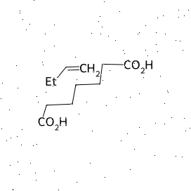 C=CCC.O=C(O)CCCCCC(=O)O